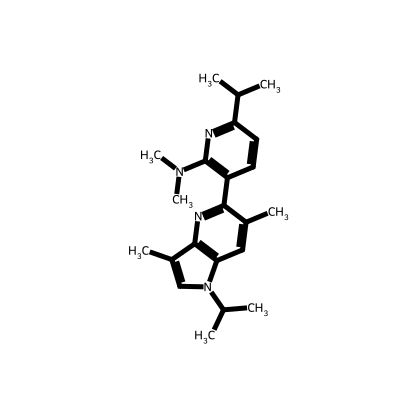 Cc1cc2c(nc1-c1ccc(C(C)C)nc1N(C)C)c(C)cn2C(C)C